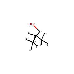 CC(C)(C)C(C)(CO)C(C)(C)C